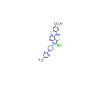 Cl.Cl.O=C(O)c1ccc(Nc2ncnc3c2c(F)cn3C2CCN(c3ncc(C(F)(F)F)cn3)CC2)c(F)c1